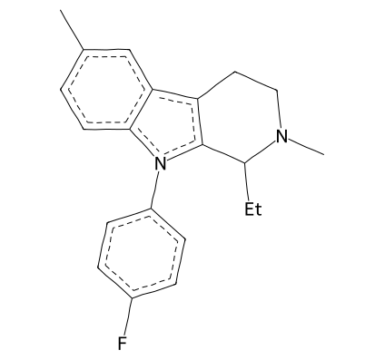 CCC1c2c(c3cc(C)ccc3n2-c2ccc(F)cc2)CCN1C